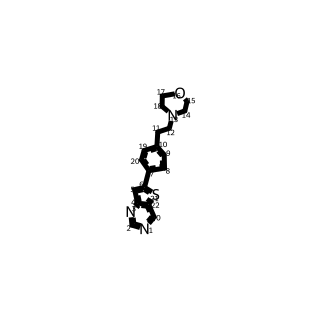 [c]1ncnc2cc(-c3ccc(CCN4CCOCC4)cc3)sc12